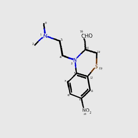 CN(C)CCN1c2ccc([N+](=O)[O-])cc2SCC1C=O